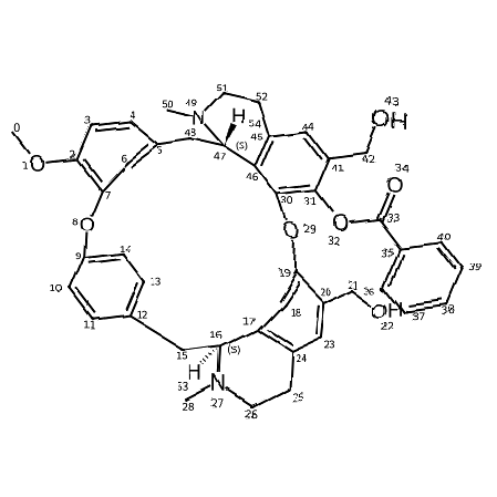 COc1ccc2cc1Oc1ccc(cc1)C[C@H]1c3cc(c(CO)cc3CCN1C)Oc1c(OC(=O)c3ccccc3)c(CO)cc3c1[C@H](C2)N(C)CC3